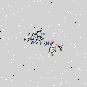 O=C(c1ccc(F)cc1OC1CC1)N1CC2(CC(C3(c4ccccc4C(F)(F)F)C=C(C(F)(F)F)N=N3)C2)C1